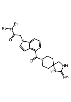 CCN(CC)C(=O)Cn1ccc2c(C(=O)N3CCC4(CC3)CNC(=N)N4)cccc21